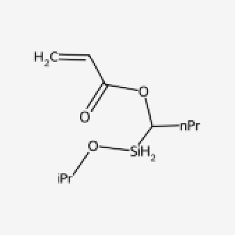 C=CC(=O)OC(CCC)[SiH2]OC(C)C